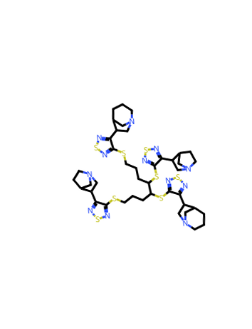 C(CSc1nsnc1C1CN2CCC1C2)CC(Sc1nsnc1C1CN2CCCC1C2)C(CCCSc1nsnc1C1CN2CCCC1C2)Sc1nsnc1C1CN2CCC1C2